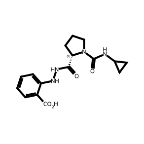 O=C(O)c1ccccc1NNC(=O)[C@@H]1CCCN1C(=O)NC1CC1